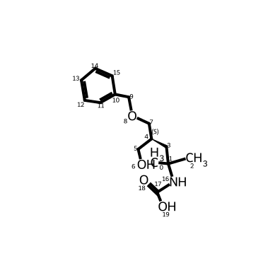 CC(C)(C[C@@H](CO)COCc1ccccc1)NC(=O)O